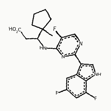 CC1(C(CC(=O)O)Nc2nc(-c3c[nH]c4c(F)cc(F)cc34)ncc2F)CCCC1